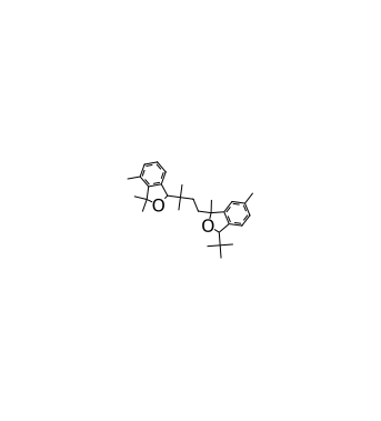 Cc1ccc2c(c1)C(C)(CCC(C)(C)C1OC(C)(C)c3c(C)cccc31)OC2C(C)(C)C